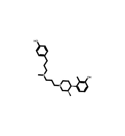 Cc1c(O)cccc1[C@@H]1CCN(CCCN(C)CCCc2ccc(O)cc2)C[C@@H]1C